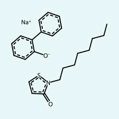 CCCCCCCCn1sccc1=O.[Na+].[O-]c1ccccc1-c1ccccc1